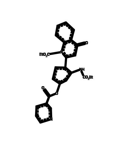 CCOC(=O)Nc1cc(OC(=O)c2cccnc2)ccc1-c1cc(=O)c2ccccc2n1C(=O)OCC